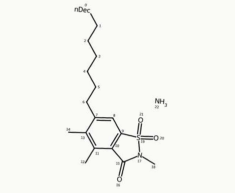 CCCCCCCCCCCCCCCCc1cc2c(c(C)c1C)C(=O)N(C)S2(=O)=O.N